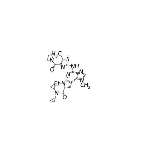 CCn1c(C(=O)N(C2CC2)C2CC2)cc2c3c(ncn3C)c(Nc3nc(C(=O)N4CCC4)c(C)s3)nc21